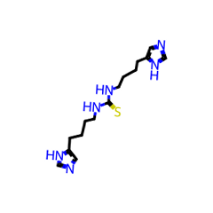 S=C(NCCCCc1cnc[nH]1)NCCCCc1cnc[nH]1